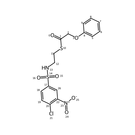 O=C(COc1ccccc1)SCCNS(=O)(=O)c1ccc(Cl)c([N+](=O)[O-])c1